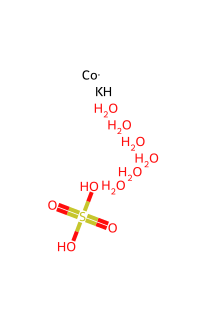 O.O.O.O.O.O.O=S(=O)(O)O.[Co].[KH]